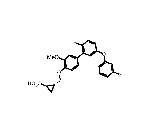 COc1cc(-c2cc(Oc3cccc(F)c3)ccc2F)ccc1OC[C@@H]1C[C@H]1C(=O)O